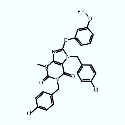 Cn1c(=O)n(Cc2ccc(Cl)cc2)c(=O)c2c1nc(Oc1cccc(OC(F)(F)F)c1)n2Cc1ccc(Cl)cc1